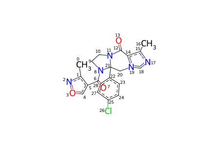 Cc1nocc1C(=O)N1CCN2C(=O)c3c(C)ncn3CC12c1ccc(Cl)cc1